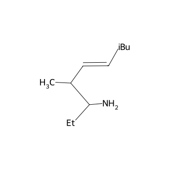 CCC(C)C=CC(C)C(N)CC